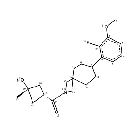 COc1cccc(C2CCC3(CC2)CN(C(=O)[C@H]2C[C@@](C)(O)C2)C3)c1F